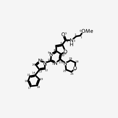 COCCNC(=O)c1cc2nc(-n3cc(-c4ccccc4)cn3)nc(N3CCOCC3)c2o1